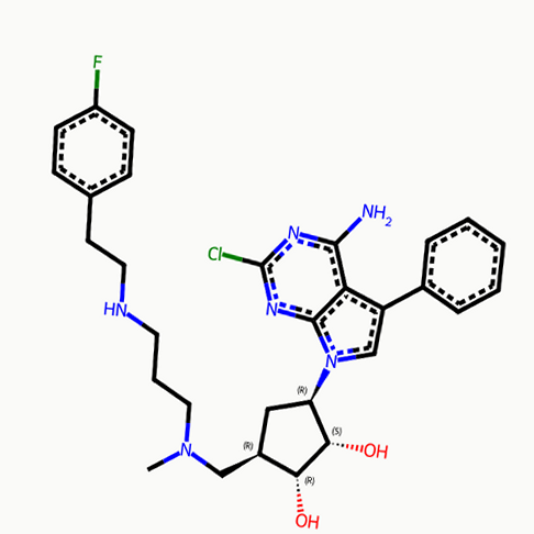 CN(CCCNCCc1ccc(F)cc1)C[C@H]1C[C@@H](n2cc(-c3ccccc3)c3c(N)nc(Cl)nc32)[C@H](O)[C@@H]1O